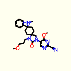 CNC1(c2ccccc2)CCC2(CC1)CN(c1cnc(C#N)nc1OC)C(=O)N2CCCOC